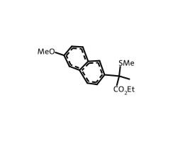 CCOC(=O)C(C)(SC)c1ccc2cc(OC)ccc2c1